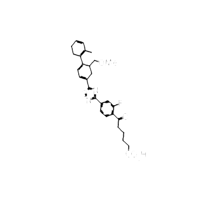 COCC1CC(c2nc(-c3ccc(C(=O)CCCCC(=O)O)c(F)c3)no2)=CC=C1C1=C(C)C=CCC1